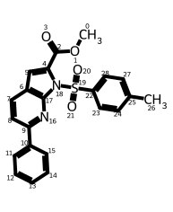 COC(=O)c1cc2ccc(-c3ccccc3)nc2n1S(=O)(=O)c1ccc(C)cc1